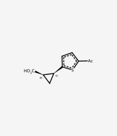 CC(=O)c1ccc([C@H]2C[C@H]2C(=O)O)s1